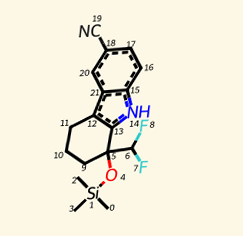 C[Si](C)(C)OC1(C(F)F)CCCc2c1[nH]c1ccc(C#N)cc21